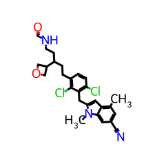 Cc1cc(C#N)cc2c1cc(Cc1c(Cl)ccc(CCC(CCNC=O)C3COC3)c1Cl)n2C